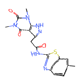 Cc1ccc2nc(NC(=O)Cc3n[nH]c4c3c(=O)n(C)c(=O)n4C)sc2c1